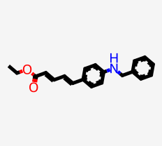 CCOC(=O)C=CC=Cc1ccc(NCc2ccccc2)cc1